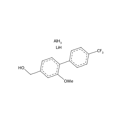 COc1cc(CO)ccc1-c1ccc(C(F)(F)F)cc1.[AlH3].[LiH]